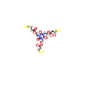 O=C(CCS)OCCn1c(=O)n(CCOC(=O)CCS)c(=O)n(CCOC(O)CCS)c1=O